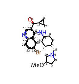 COC1CCN(C[C@H]2CC[C@H](Nc3c(C(=O)C4CC4)cnc4ccc(Br)cc34)CC2)C1